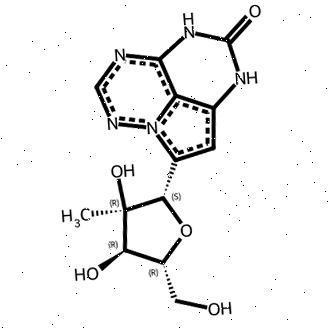 C[C@@]1(O)[C@H](O)[C@@H](CO)O[C@H]1c1cc2c3c(ncnn13)NC(=O)N2